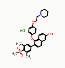 Cc1cc(-c2ccc3cc(O)ccc3c2Oc2ccc(OCCN3CCCCC3)cc2)cc(C)c1S(C)(=O)=O.Cl